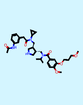 COCCCOc1cc(C(=O)N(C[C@@H]2CNC[C@H]2CN(C(=O)Cc2cccc(NC(C)=O)c2)C2CC2)C(C)C)ccc1OC